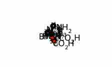 Cc1c(-c2ccccc2)nc2ccc(Br)cc2c1C(=O)NC12CCC(C(=O)O)(CC1)CC2.NCCCCC(N)C(=O)O